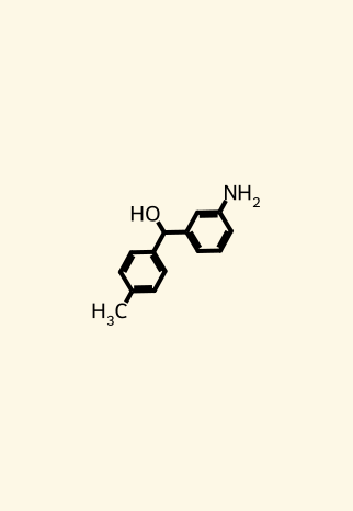 Cc1ccc(C(O)c2cccc(N)c2)cc1